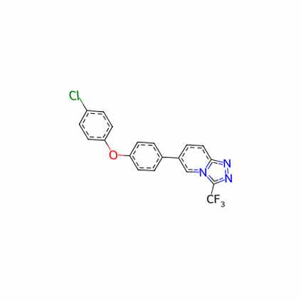 FC(F)(F)c1nnc2ccc(-c3ccc(Oc4ccc(Cl)cc4)cc3)cn12